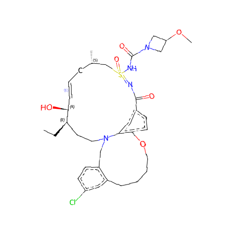 CC[C@@H]1CCN2Cc3ccc(Cl)cc3CCCCOc3ccc(cc32)C(=O)N=S(=O)(NC(=O)N2CC(OC)C2)C[C@@H](C)C/C=C/[C@@H]1O